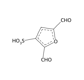 O=Cc1cc(S(=O)(=O)O)c(C=O)o1